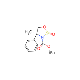 CC(C)(C)OC(=O)N1[S@@](=O)OC[C@]1(C)c1ccccc1